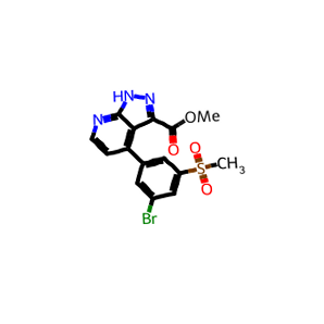 COC(=O)c1n[nH]c2nccc(-c3cc(Br)cc(S(C)(=O)=O)c3)c12